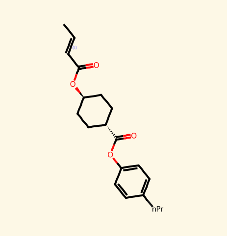 C/C=C/C(=O)O[C@H]1CC[C@H](C(=O)Oc2ccc(CCC)cc2)CC1